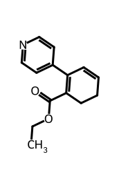 CCOC(=O)C1=C(c2ccncc2)C=CCC1